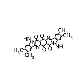 Cc1cc2c(=N)n3c(=O)c4c(=O)c5nc6c7cc(C)c(C)cc7c(=N)n6c(=O)c5c(=O)c4nc3c2cc1C